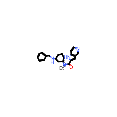 CCN(C(=O)c1cc2cnccc2[nH]1)[C@H]1CCCC(NCc2ccccc2)C1